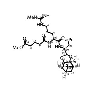 CNC(=N)NCCC[C@H](NC(=O)CCCC(=O)OC)C(=O)N[C@@H](CC(C)C)B1O[C@@H]2C[C@@H]3C[C@@H](C3(C)C)[C@]2(C)O1